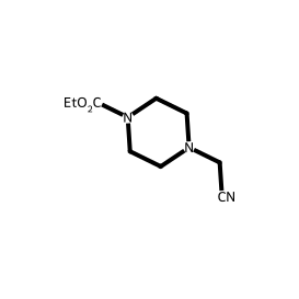 CCOC(=O)N1CCN(CC#N)CC1